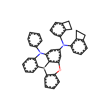 c1ccc(N2c3ccccc3B3c4ccccc4Oc4cc(N(c5cccc6c5CC6)c5cccc6c5CC6)cc2c43)cc1